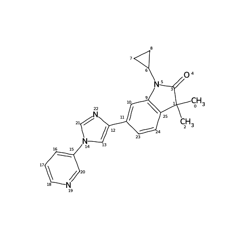 CC1(C)C(=O)N(C2CC2)c2cc(-c3cn(-c4cccnc4)cn3)ccc21